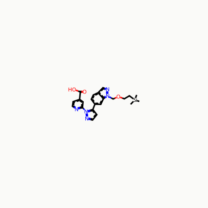 C[Si](C)(C)CCOCn1ncc2ccc(-c3ccnn3-c3cc(C(=O)O)ccn3)cc21